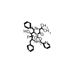 CC(C)[C@H](N)C(=O)N(C(=O)OCc1ccccn1)C(Cc1ccccc1)C(O)C(F)(F)C(N)Cc1ccccc1